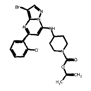 C=C(C)OC(=O)N1CCC(Nc2cc(-c3ccccc3Cl)nc3c(Br)cnn23)CC1